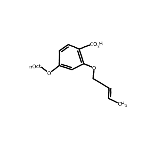 CC=CCOc1cc(OCCCCCCCC)ccc1C(=O)O